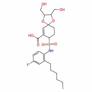 CCCCCCc1cc(F)ccc1NS(=O)(=O)C1CCC2(C=C1C(=O)O)OC(CO)C(CO)O2